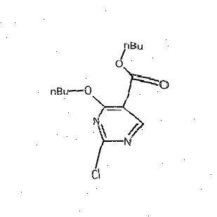 CCCCOC(=O)c1cnc(Cl)nc1OCCCC